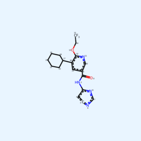 O=C(Nc1ccncn1)c1cnc(OCC(F)(F)F)c(C2CCCCC2)c1